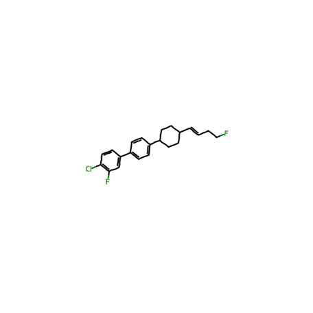 FCCC=CC1CCC(c2ccc(-c3ccc(Cl)c(F)c3)cc2)CC1